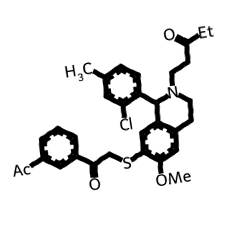 CCC(=O)CCN1CCc2cc(OC)c(SCC(=O)c3cccc(C(C)=O)c3)cc2C1c1ccc(C)cc1Cl